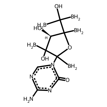 BC(B)(O)C1(B)OC(B)(n2cnc(N)nc2=O)C(B)(O)[C@H]1O